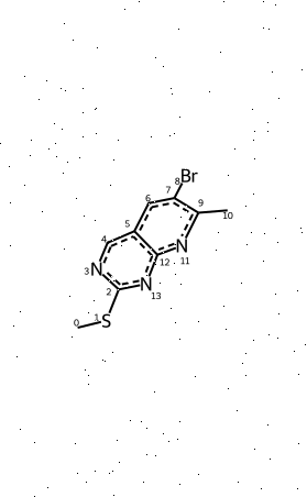 CSc1ncc2cc(Br)c(C)nc2n1